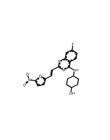 O=[N+]([O-])c1ccc(/C=C/c2nc(NC3CCC(O)CC3)c3ccc(F)cc3n2)o1